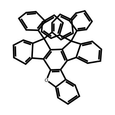 c1ccc(C2(c3ccccc3)c3ccccc3-c3c2c2c(c4c3oc3ccccc34)-c3ccccc3C2(c2ccccc2)c2ccccc2)cc1